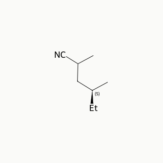 CC[C@H](C)CC(C)C#N